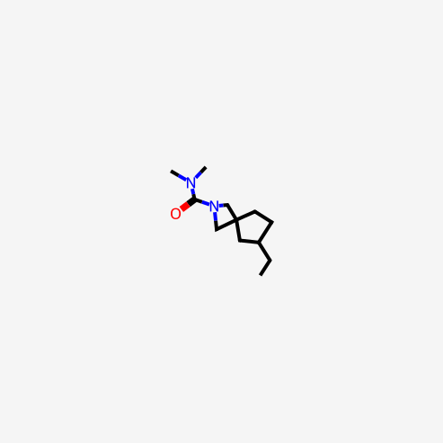 CCC1CCC2(C1)CN(C(=O)N(C)C)C2